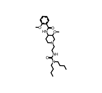 CCCCN(CCCC)C(=O)NCCN1CCC(NC(=O)c2ccccc2OC)C(OC)C1